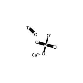 O=S(=O)([O-])[O-].[Ca+2].[O]=[Ti]